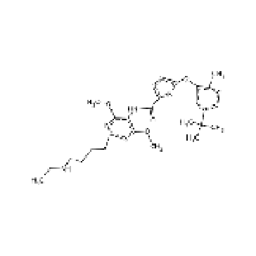 CCNCCCCc1nc(OC)c(NC(=O)c2csc(Oc3cc(C(C)(C)C)ccc3C)n2)c(OC)n1